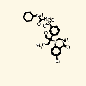 CCC(C=O)(c1cccc(S(=O)(=O)NC(=O)NC2CCCCC2)c1)N1CNC(=O)c2cc(Cl)ccc21